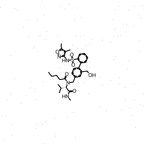 CCCCC(=O)N(Cc1ccc(-c2ccccc2S(=O)(=O)Nc2noc(C)c2C)c(CO)c1)[C@H](C(=O)NC)C(C)C